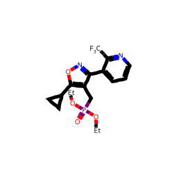 CCOP(=O)(Cc1c(-c2cccnc2C(F)(F)F)noc1C1CC1)OCC